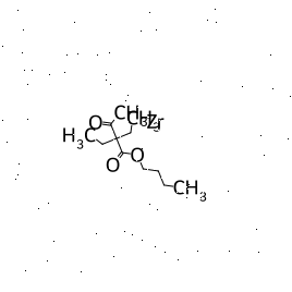 CCCCOC(=O)C(CC)(CC)C(C)=O.[Zr]